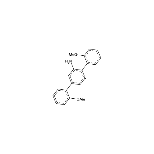 COc1ccccc1-c1cnc(-c2ccccc2OC)c(N)c1